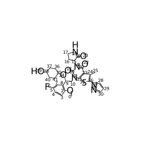 COc1ccc(F)cc1[C@H](Cn1c(=O)n([C@@H]2CCNC2=O)c(=O)c2c(C)c(-n3cccn3)sc21)O[C@H]1CC[C@@H](O)CC1